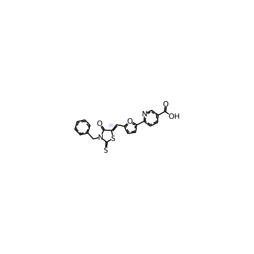 O=C(O)c1ccc(-c2ccc(/C=C3\SC(=S)N(Cc4ccccc4)C3=O)o2)nc1